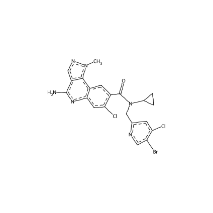 Cn1ncc2c(N)nc3cc(Cl)c(C(=O)N(Cc4cc(Cl)c(Br)cn4)C4CC4)cc3c21